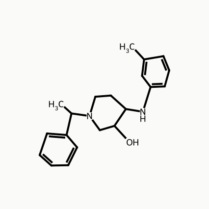 Cc1cccc(NC2CCN(C(C)c3ccccc3)CC2O)c1